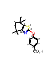 CC1(C)CCC(C)(C)c2sc(Oc3ccc(C(=O)O)cc3)nc21